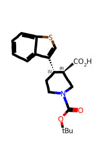 CC(C)(C)OC(=O)N1CC[C@H](c2csc3ccccc23)[C@@H](C(=O)O)C1